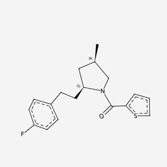 C[C@@H]1C[C@H](CCc2ccc(F)cc2)N(C(=O)c2cccs2)C1